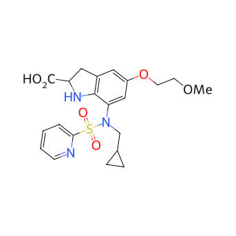 COCCOc1cc2c(c(N(CC3CC3)S(=O)(=O)c3ccccn3)c1)NC(C(=O)O)C2